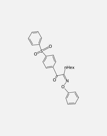 CCCCCCC(=NOc1ccccc1)C(=O)c1ccc(S(=O)(=O)c2ccccc2)cc1